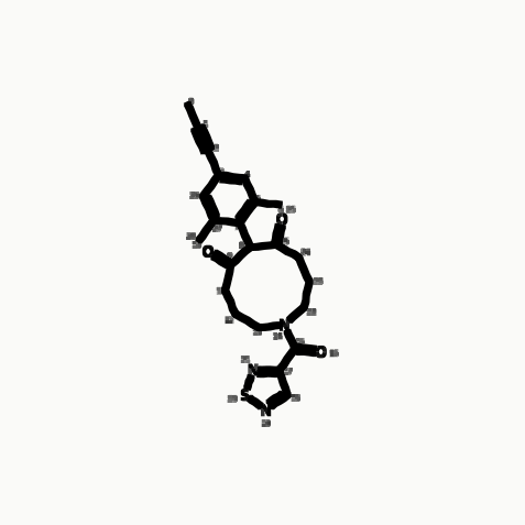 CC#Cc1cc(C)c(C2C(=O)CCCN(C(=O)c3cnsn3)CCCC2=O)c(C)c1